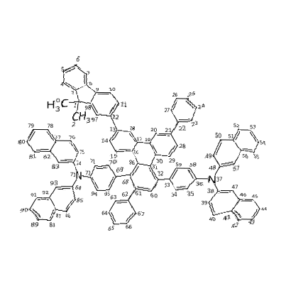 CC1(C)c2ccccc2-c2ccc(-c3ccc4c(c3)c3cc(-c5ccccc5)ccc3c3c(-c5ccc(N(c6ccc7ccccc7c6)c6ccc7ccccc7c6)cc5)cc(-c5ccccc5)c(-c5ccc(N(c6ccc7ccccc7c6)c6ccc7ccccc7c6)cc5)c43)cc21